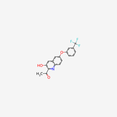 CC(=O)c1nc2ccc(Oc3cccc(C(F)(F)F)c3)cc2cc1O